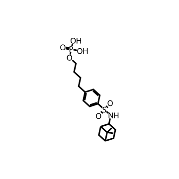 CC1(C)C2CCC(NS(=O)(=O)c3ccc(CCCCOP(=O)(O)O)cc3)C1C2